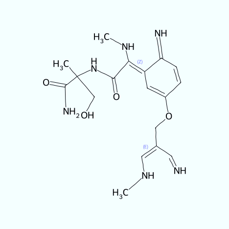 CN/C=C(\C=N)COC1=C/C(=C(/NC)C(=O)NC(C)(CO)C(N)=O)C(=N)C=C1